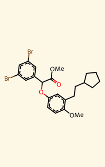 COC(=O)C(Oc1ccc(OC)c(CCC2CCCC2)c1)c1cc(Br)cc(Br)c1